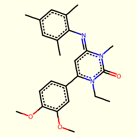 CCn1c(-c2ccc(OC)c(OC)c2)cc(=Nc2c(C)cc(C)cc2C)n(C)c1=O